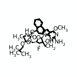 C=C[C@@]1(O)[C@H](F)[C@@H](COP(=O)(N[C@@H](C)C(=O)OCC(C)(C)C)Oc2cccc3ccccc23)O[C@H]1n1ccc2c(OC)nc(N)nc21